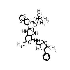 CCCC(NC(=O)[C@@H]1CC2(CN1C(=O)OC(C)(C)C)SCCS2)C(O)C(=O)NCC(=O)N[C@H](C(C)=O)c1ccccc1